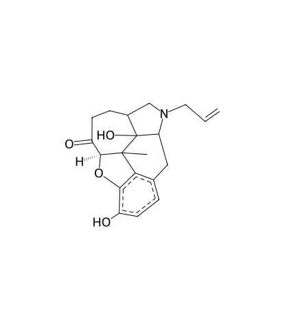 C=CCN1CC2CCC(=O)[C@@H]3Oc4c(O)ccc5c4C3(C)C2(O)C1C5